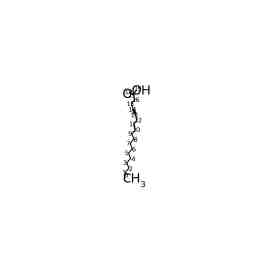 CCCCCCCCCCCCCC#CCCC(=O)O